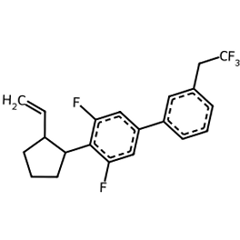 C=CC1CCCC1c1c(F)cc(-c2cccc(CC(F)(F)F)c2)cc1F